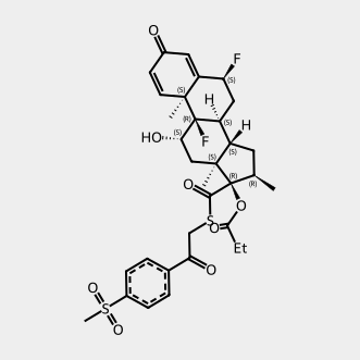 CCC(=O)O[C@]1(C(=O)SCC(=O)c2ccc(S(C)(=O)=O)cc2)[C@H](C)C[C@H]2[C@@H]3C[C@H](F)C4=CC(=O)C=C[C@]4(C)[C@@]3(F)[C@@H](O)C[C@@]21C